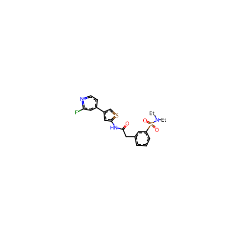 CCN(CC)S(=O)(=O)c1cccc(CC(=O)Nc2cc(-c3ccnc(F)c3)cs2)c1